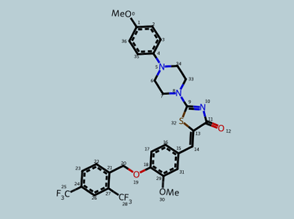 COc1ccc(N2CCN(C3=NC(=O)/C(=C/c4ccc(OCc5ccc(C(F)(F)F)cc5C(F)(F)F)c(OC)c4)S3)CC2)cc1